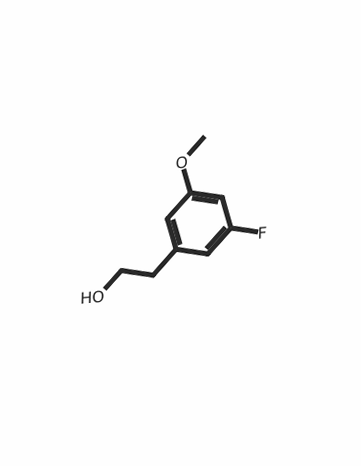 COc1cc(F)cc(CCO)c1